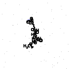 C/C=C\C(=O)N(C=O)CCCCCC(=O)NCC(=O)NCC(=O)NC(CC(=O)NCOC(C)C1CC1)Cc1ccccc1